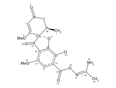 COC1=CC(=O)C[C@@H](C)[C@]12Oc1c(Cl)c(C(=O)O/N=C(/C)N)cc(OC)c1C2=O